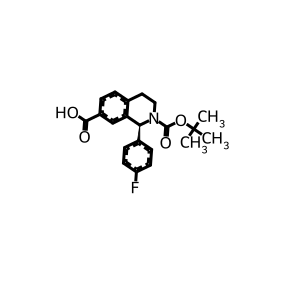 CC(C)(C)OC(=O)N1CCc2ccc(C(=O)O)cc2[C@@H]1c1ccc(F)cc1